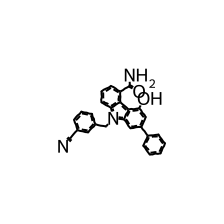 N#Cc1cccc(Cn2c3cc(-c4ccccc4)cc(O)c3c3c(C(N)=O)cccc32)c1